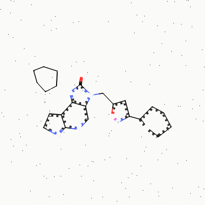 C[C@@H]1CCCC[C@@H]1n1c(=O)n(Cc2cc(-c3ccccc3)no2)c2cnc3[nH]ccc3c21